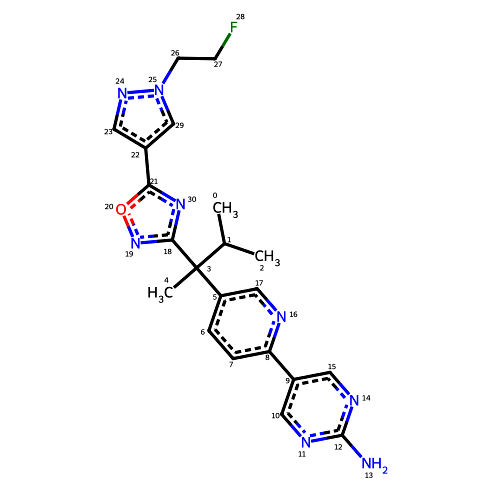 CC(C)C(C)(c1ccc(-c2cnc(N)nc2)nc1)c1noc(-c2cnn(CCF)c2)n1